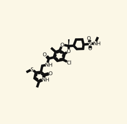 CNS(=O)(=O)C1CCC([C@]2(C)Oc3c(Cl)cc(C(=O)NCc4c(SC)cc(C)[nH]c4=O)c(C)c3O2)CC1